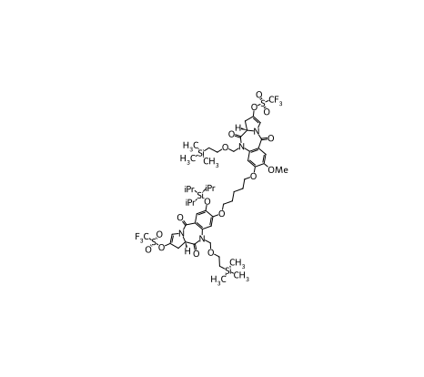 COc1cc2c(cc1OCCCCCOc1cc3c(cc1O[Si](C(C)C)(C(C)C)C(C)C)C(=O)N1C=C(OS(=O)(=O)C(F)(F)F)C[C@H]1C(=O)N3COCC[Si](C)(C)C)N(COCC[Si](C)(C)C)C(=O)[C@@H]1CC(OS(=O)(=O)C(F)(F)F)=CN1C2=O